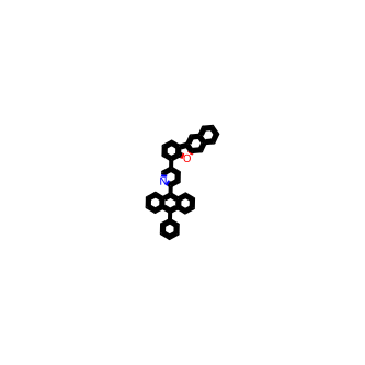 c1ccc(-c2c3ccccc3c(-c3ccc(-c4cccc5c4oc4cc6ccccc6cc45)cn3)c3ccccc23)cc1